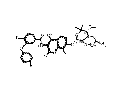 CO[C@@H]1[C@@H](OC(N)O)[C@@H](O)[C@H](Oc2ccc3c(O)c(NC(=O)c4ccc(F)c(Oc5ccc(F)cc5)c4)c(=O)oc3c2C)OC1(C)C